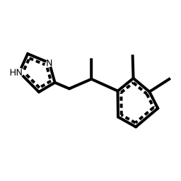 Cc1cccc(C(C)Cc2c[nH]cn2)c1C